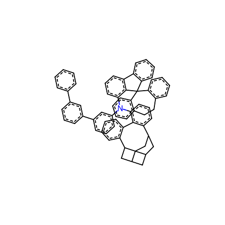 c1ccc(-c2cccc(-c3cccc(N(c4cccc5c4-c4ccccc4C4CC6CC7CC5CC764)c4cccc5c4C4(c6ccccc6CCc6ccccc64)c4ccccc4-5)c3)c2)cc1